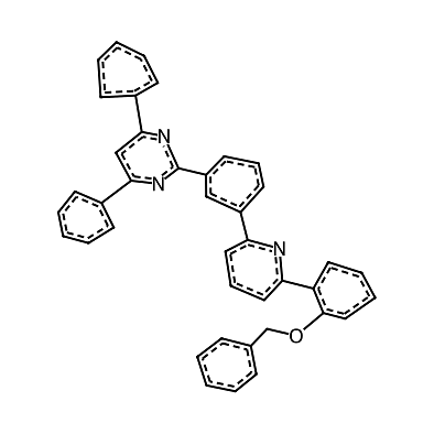 c1ccc(COc2ccccc2-c2cccc(-c3cccc(-c4nc(-c5ccccc5)cc(-c5ccccc5)n4)c3)n2)cc1